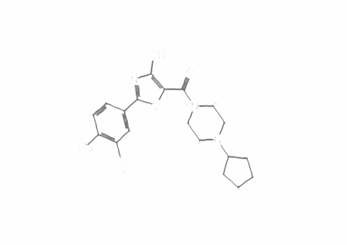 Cc1nc(-c2ccc(Cl)c(Cl)c2)sc1C(=O)N1CCN(C2CCCC2)CC1